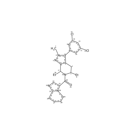 CCC1Cc2c(nn(C)c2-c2cc(Cl)cc(Cl)c2)C(CC)N1C(=O)c1cnc2ccccn12